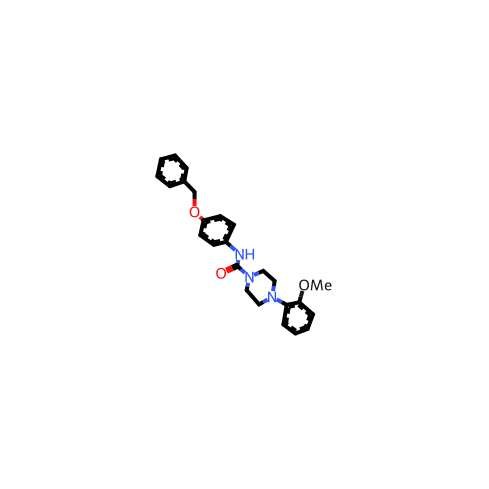 COc1ccccc1N1CCN(C(=O)Nc2ccc(OCc3ccccc3)cc2)CC1